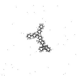 CC1(C)c2cc(N(c3ccc(-c4ccccc4)cc3)c3ccc(-c4ccccc4)cc3)ccc2-c2ccc(-n3c4ccccc4n4c5ccccc5nc34)cc21